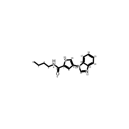 CCCCNC(=O)c1cc(-n2cnc3ccccc32)cs1